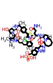 Cc1cc(CCCC(=O)N[C@H](C(=O)N2C[C@H](O)C[C@H]2C(=O)N[C@@H](C)c2ccc(-c3scnc3C)cc2)C(C)(C)C)c(Cl)c(OC[C@H](CCC(N)=O)NC(=O)[C@@H]2CC[C@@H]3CCCC[C@H](NC(=O)c4cc5cc(C(=O)P(=O)(O)O)ccc5[nH]4)C(=O)N32)c1